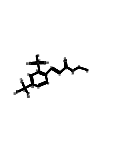 CCOC(=O)/C=C/c1ccc(C(F)(F)F)nc1S(C)(=O)=O